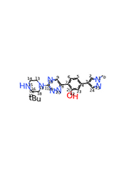 Cn1cc(-c2ccc(-c3cnc(N4CCN[C@@H](C(C)(C)C)C4)nn3)c(O)c2)cn1